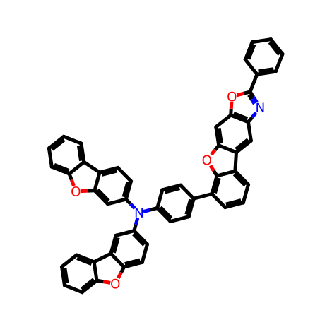 c1ccc(-c2nc3cc4c(cc3o2)oc2c(-c3ccc(N(c5ccc6c(c5)oc5ccccc56)c5ccc6oc7ccccc7c6c5)cc3)cccc24)cc1